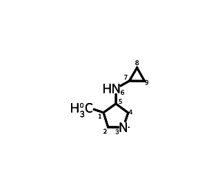 CC1C[N]CC1NC1CC1